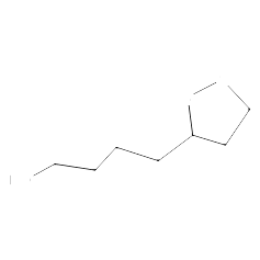 OCCCCC1CCSS1